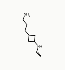 C=CNC1CC(CCCN)C1